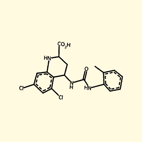 Cc1ccccc1NC(=O)NC1CC(C(=O)O)Nc2cc(Cl)cc(Cl)c21